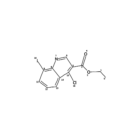 CCOC(=O)c1cnc2c(I)cccc2c1Cl